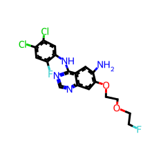 Nc1cc2c(Nc3cc(Cl)c(Cl)cc3F)ncnc2cc1OCCOCCF